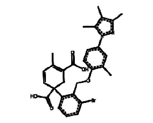 CC1=C(C(=O)O)CC(C(=O)O)(c2cccc(Br)c2COc2ccc(-n3nc(C)c(C)c3C)cc2C)C=C1